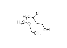 CC(Cl)CCO.CCO[SiH3]